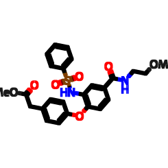 COCCNC(=O)c1ccc(Oc2ccc(CC(=O)OC)cc2)c(NS(=O)(=O)c2ccccc2)c1